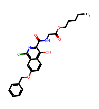 CCCCCOC(=O)CNC(=O)c1nc(Cl)c2cc(OCc3ccccc3)ccc2c1O